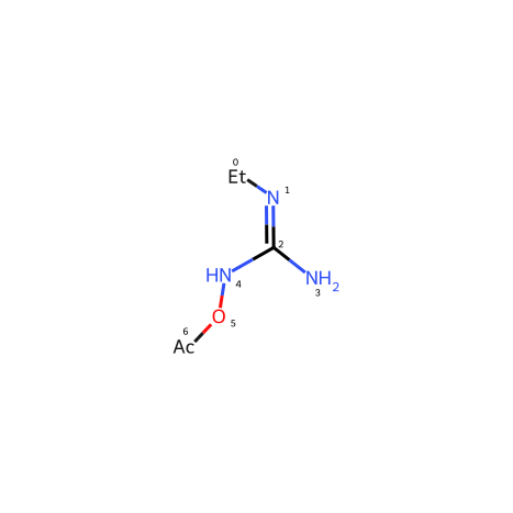 CCN=C(N)NOC(C)=O